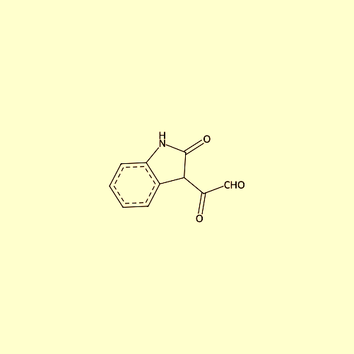 O=CC(=O)C1C(=O)Nc2ccccc21